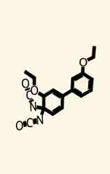 CCOc1cccc(C2=CC(OCC)C(N=C=O)(N=C=O)C=C2)c1